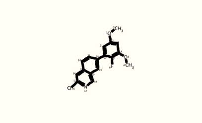 COc1cc(OC)c(F)c(-c2ccc3cc(Cl)ncc3c2)c1